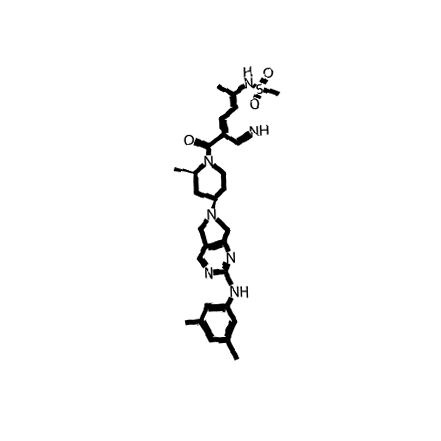 C/C(=C\C=C(/C=N)C(=O)N1CC[C@@H](N2Cc3cnc(Nc4cc(C)cc(C)c4)nc3C2)C[C@H]1C)NS(C)(=O)=O